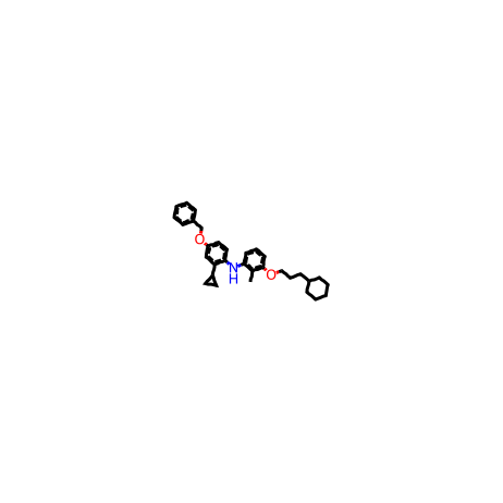 Cc1c(Nc2ccc(OCc3ccccc3)cc2C2CC2)cccc1OCCCC1CCCCC1